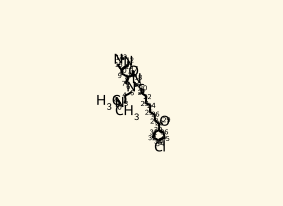 CN(C)CCCn1cc(Cc2cncnc2)c(=O)nc1SCCCCCCCC(=O)c1ccc(Cl)cc1